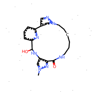 Cn1cc2c(n1)C(=O)NCCCCCCn1cc(cn1)-c1cccc(n1)C(O)N2